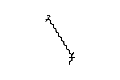 CCCC(C)(C)C(=O)CCCCCCCCCCCCCCCCC(=O)O